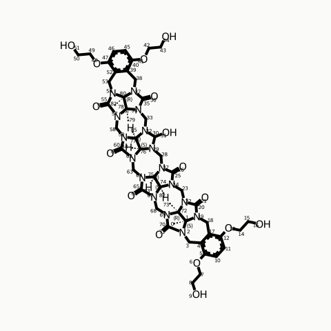 C[C@@]12N3Cc4c(OCCO)ccc(OCCO)c4CN1C(=O)N1CN4C(=O)N5CN6C(O)N7CN8C(=O)N9Cc%10c(OCCO)ccc(OCCO)c%10CN%10C(=O)N(CN%11C(=O)N(CN%12C(=O)N(CN(C3=O)[C@@]12C)[C@H]4[C@@H]%125)[C@H]6[C@@H]%117)[C@@]8(C)[C@@]%109C